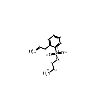 C=CCc1ccccc1S(=O)(=O)OCCN